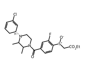 CCOC(=O)C[S+]([O-])c1ccc(C(=O)N2CCN([C@H]3C=C(Cl)C=CC3)C(C)C2C)cc1F